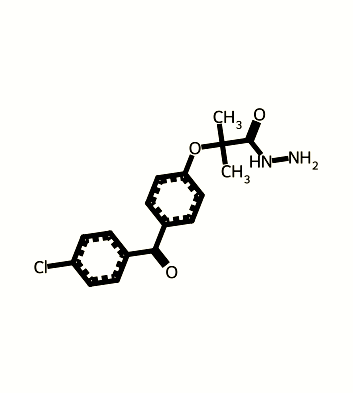 CC(C)(Oc1ccc(C(=O)c2ccc(Cl)cc2)cc1)C(=O)NN